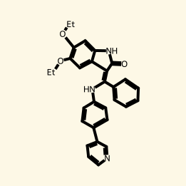 CCOc1cc2c(cc1OCC)C(=C(Nc1ccc(-c3cccnc3)cc1)c1ccccc1)C(=O)N2